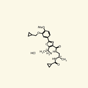 COc1ccc(-c2nc(C(=O)NC[C@@H](C)NC(=O)C3CC3)c([C@H](C)N)o2)cc1OCC1CC1.Cl